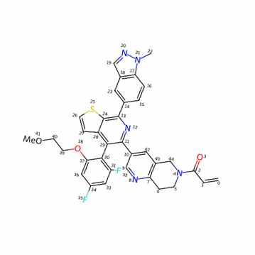 C=CC(=O)N1CCc2ncc(-c3nc(-c4ccc5c(cnn5C)c4)c4sccc4c3-c3c(F)cc(F)cc3OCCOC)cc2C1